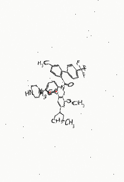 CCCC(CC)c1cc(OC)c(CN(C(=O)c2ccc(C)cc2-c2ccc(C(F)(F)F)cc2)c2ccc(N3CCNCC3)cc2)c(OC)c1